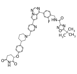 CC(C)(C)c1nc(C(=O)NCc2ccc(-c3ncnn4cc(-c5ccc(CN6CCCC(c7ccc(OC8CCC(=O)NC8=O)cc7)C6)cn5)cc34)cc2F)no1